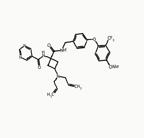 C=CCN(CC=C)C1CC(NC(=O)c2cncnc2)(C(=O)NCc2ccc(Oc3ccc(OC)cc3C(F)(F)F)cc2)C1